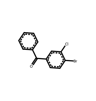 O=C(c1[c]cc(Br)c(Cl)c1)c1ccccc1